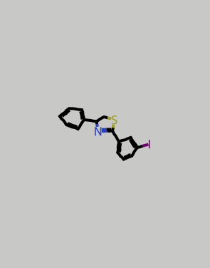 Ic1cccc(C2=NC(c3ccccc3)CS2)c1